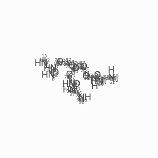 CC(C)NC(CCCCNC(C)(C)C)C(=O)NCCC(C)(C)OCCC(C)(C)C(C)(C)OCC(CC(C)(C)OC(C)(C)CCOC(C)(C)CCNC(=O)C(CCCCNC(C)(C)C)NC(C)(C)C)OC(C)(C)CCOC(C)(C)CCNC(=O)C(CCCCNC(C)(C)C)NC(C)(C)C